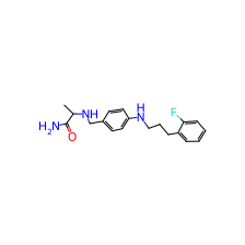 CC(NCc1ccc(NCCCc2ccccc2F)cc1)C(N)=O